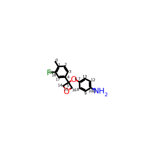 Cc1ccc(C2(Oc3ccc(N)cc3)COC2)cc1F